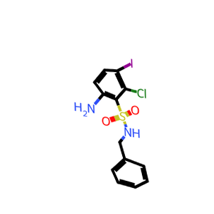 Nc1ccc(I)c(Cl)c1S(=O)(=O)NCc1ccccc1